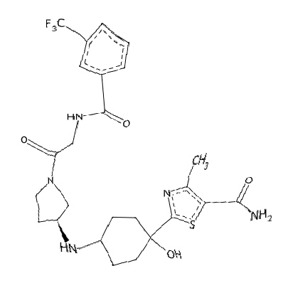 Cc1nc(C2(O)CCC(N[C@H]3CCN(C(=O)CNC(=O)c4cccc(C(F)(F)F)c4)C3)CC2)sc1C(N)=O